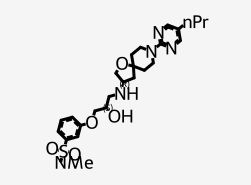 CCCc1cnc(N2CCC3(CC2)C[C@@H](NC[C@H](O)COc2cccc(S(=O)(=O)NC)c2)CO3)nc1